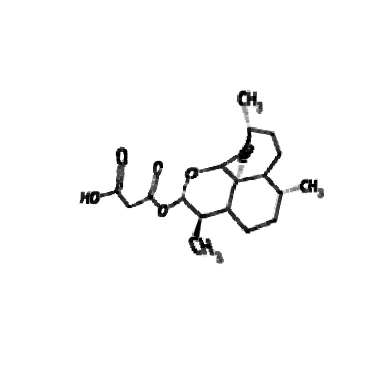 C[C@H]1C(OC(=O)CC(=O)O)OC2O[C@]3(C)CCC4[C@H](C)CCC1[C@@]24CO3